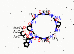 COC(=O)[C@H]1O[C@@H](Oc2cc3ccccc3nc2C(=O)N[C@@H]2CNC(=O)[C@H](C(C)C)N(C)C(=O)CN(C)C(=O)CNC(=O)[C@@H]3CCCCN3C(=O)[C@H](N)CNC(=O)[C@H](C(C)C)N(C)C(=O)CN(C)C(=O)CNC(=O)[C@@H]3CCCCN3C2=O)[C@H](OC(C)=O)[C@@H](OC(C)=O)[C@@H]1OC(C)=O